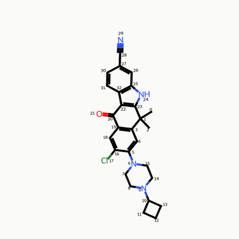 CC1(C)c2cc(N3CCN(C4CCC4)CC3)c(Cl)cc2C(=O)c2c1[nH]c1cc(C#N)ccc21